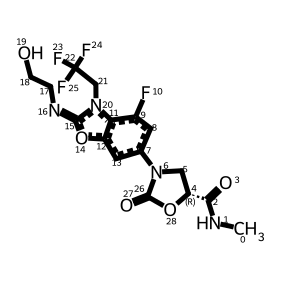 CNC(=O)[C@H]1CN(c2cc(F)c3c(c2)oc(=NCCO)n3CC(F)(F)F)C(=O)O1